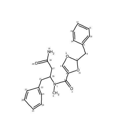 CN(C(=O)C1=COC(Cc2ccccc2)O1)C(CC(N)=O)Cc1ccccc1